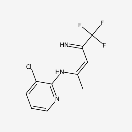 C/C(=C/C(=N)C(F)(F)F)Nc1ncccc1Cl